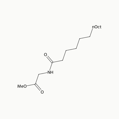 CCCCCCCCCCCCCC(=O)NCC(=O)OC